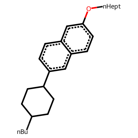 CCCCCCCOc1ccc2cc(C3CCC(CCCC)CC3)ccc2c1